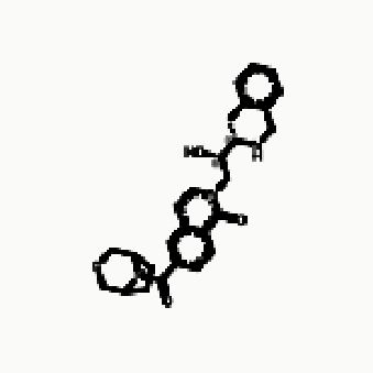 O=C(c1ccc2c(=O)n(C[C@@H](O)[C@@H]3Cc4ccccc4CN3)ccc2c1)N1C2CCC1COC2